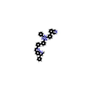 Cc1cc(-c2ccccc2)c2ccc3ccc(-c4cccc(-c5cccc(-c6nc(-c7ccccc7)nc(-c7cccc(-c8cccc9cnccc89)c7)n6)c5)c4)nc3c2n1